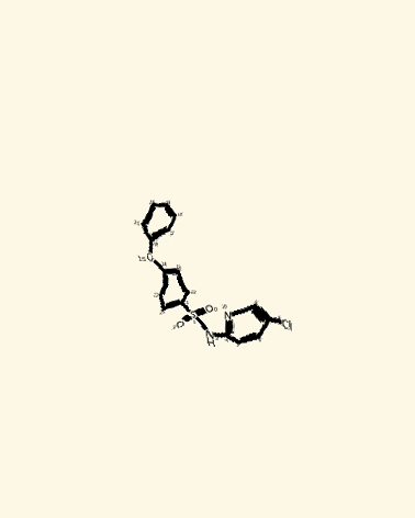 O=S(=O)(Nc1ccc(Cl)cn1)c1ccc(Oc2ccccc2)cc1